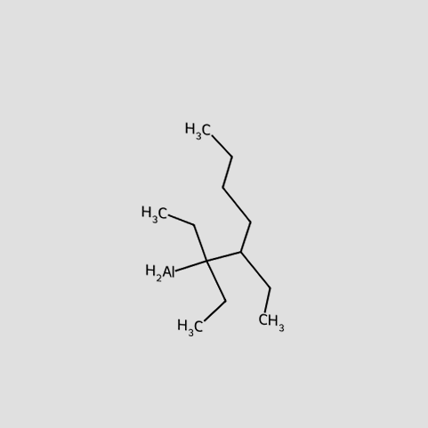 CCCCC(CC)[C]([AlH2])(CC)CC